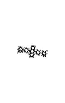 Cc1cncc(-c2ccc(-c3c4ccccc4c(-c4ccc(-c5cccc(C)n5)cc4)c4ccccc34)cc2)c1